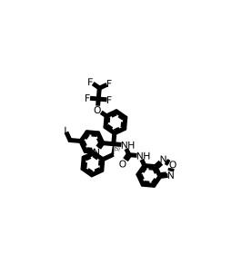 O=C(Nc1cccc2nonc12)N[C@@](Cc1ccccc1)(c1cccc(OC(F)(F)C(F)F)c1)c1ccc(CI)cn1